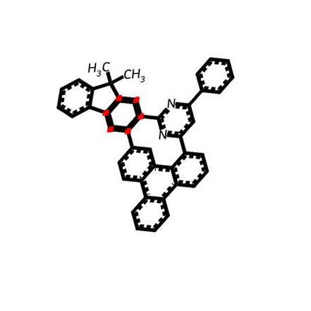 CC1(C)c2ccccc2-c2cc(-c3ccc4c5ccccc5c5cccc(-c6cc(-c7ccccc7)nc(-c7ccccc7)n6)c5c4c3)ccc21